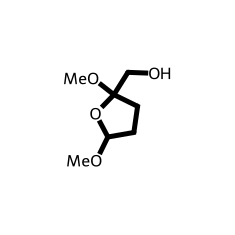 COC1CCC(CO)(OC)O1